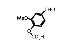 COc1cc(C=O)ccc1OC(=O)O